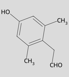 Cc1cc(O)cc(C)c1CC=O